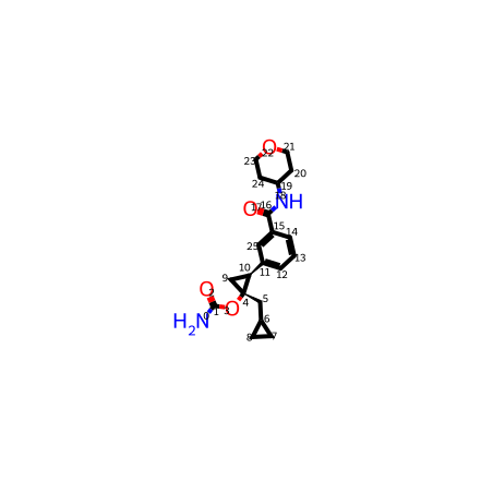 NC(=O)O[C@]1(CC2CC2)C[C@H]1c1cccc(C(=O)NC2CCOCC2)c1